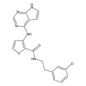 O=C(NCCc1cccc(Cl)c1)c1sccc1Nc1ncnc2[nH]ccc12